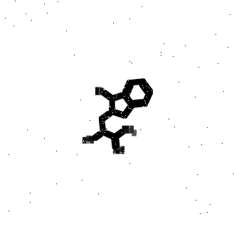 CCCN(CN1Cc2ccccc2C1CC)C(=N)N